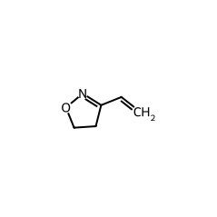 C=CC1=NOCC1